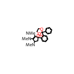 CNC1=C(NC)C(O)(c2ccccc2C2(c3ccccc3)OCCO2)CC1NC